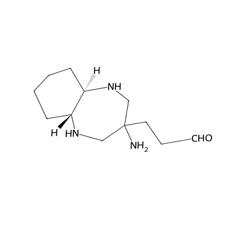 NC1(CCC=O)CN[C@@H]2CCCC[C@H]2NC1